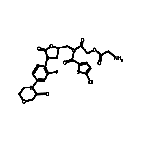 NCC(=O)OCC(=O)N(C[C@H]1CN(c2ccc(N3CCOCC3=O)cc2F)C(=O)O1)C(=O)c1ccc(Cl)s1